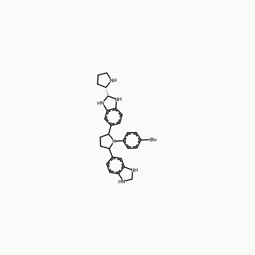 CC(C)(C)c1ccc(N2C(c3ccc4c(c3)NCN4)CCC2c2ccc3c(c2)NC([C@@H]2CCCN2)N3)cc1